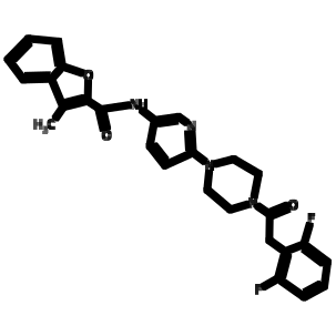 Cc1c(C(=O)Nc2ccc(N3CCN(C(=O)Cc4c(F)cccc4F)CC3)nc2)oc2ccccc12